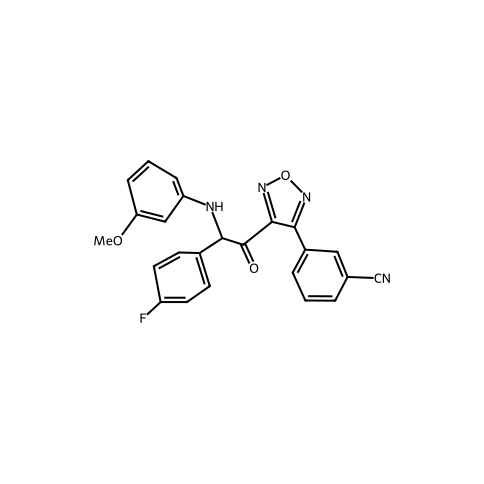 COc1cccc(NC(C(=O)c2nonc2-c2cccc(C#N)c2)c2ccc(F)cc2)c1